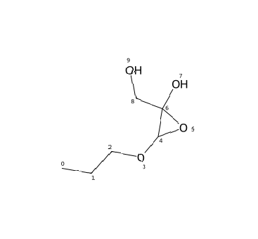 CCCOC1OC1(O)CO